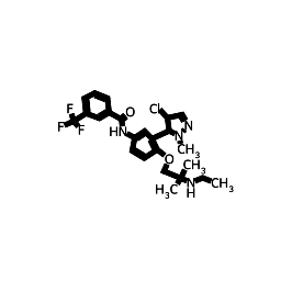 CCNC(C)(C)COc1ccc(NC(=O)c2cccc(C(F)(F)F)c2)cc1C1C(Cl)C=NN1C